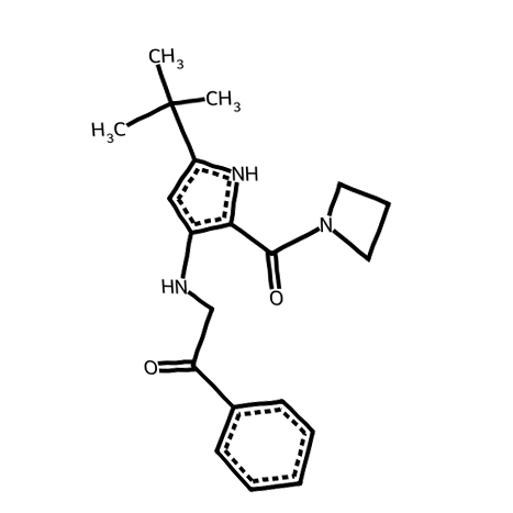 CC(C)(C)c1cc(NCC(=O)c2ccccc2)c(C(=O)N2CCC2)[nH]1